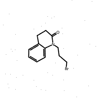 O=C1CCc2ccccc2N1CCCBr